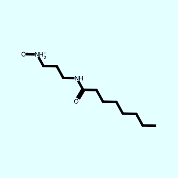 CCCCCCCC(=O)NCCC[NH2+][O-]